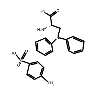 Cc1ccc(S(=O)(=O)O)cc1.N[C@@H](CN(c1ccccc1)c1ccccc1)C(=O)O